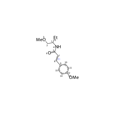 CCC(COC)NC(=O)/C=C/c1ccc(OC)cc1